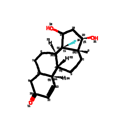 C[C@]12CC[C@H]3[C@@H](CCC4CC(=O)C=C[C@@H]43)[C@@]1(F)C(O)C[C@@H]2O